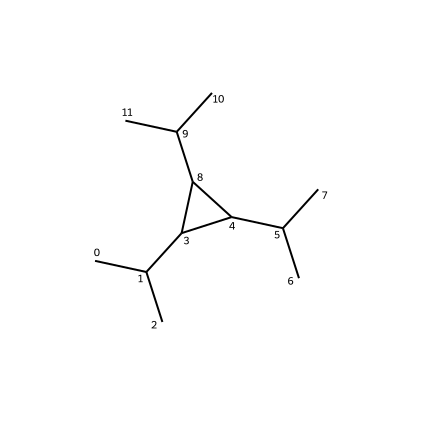 CC(C)C1C(C(C)C)C1C(C)C